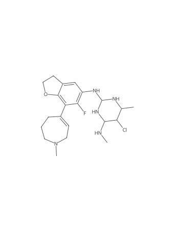 CNC1NC(Nc2cc3c(c(C4=CCN(C)CCC4)c2F)OCC3)NC(C)C1Cl